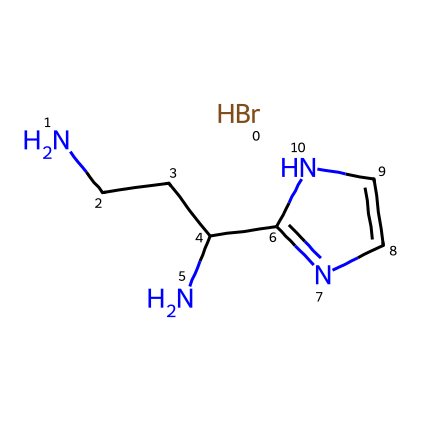 Br.NCCC(N)c1ncc[nH]1